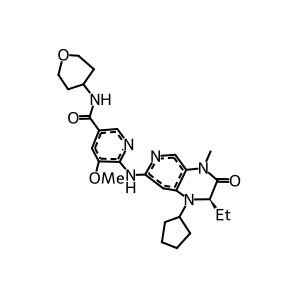 CC[C@@H]1C(=O)N(C)c2cnc(Nc3ncc(C(=O)NC4CCOCC4)cc3OC)cc2N1C1CCCC1